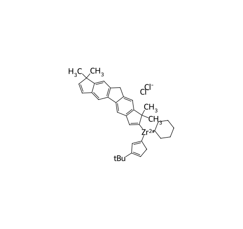 CC(C)(C)C1=CC[C]([Zr+2]([C]2=Cc3cc4c(cc3C2(C)C)Cc2cc3c(cc2-4)C=CC3(C)C)=[C]2CCCCC2)=C1.[Cl-].[Cl-]